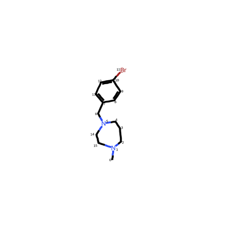 CN1CCCN(Cc2ccc(Br)cc2)CC1